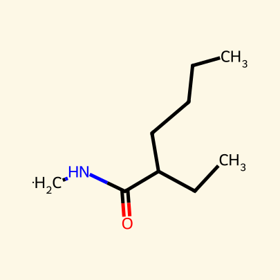 [CH2]NC(=O)C(CC)CCCC